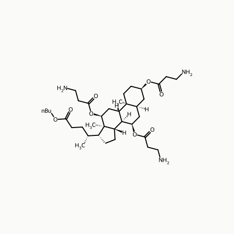 CCCCOC(=O)CC[C@@H](C)[C@H]1CC[C@H]2[C@@H]3[C@H](OC(=O)CCN)C[C@@H]4C[C@H](OC(=O)CCN)CC[C@]4(C)[C@H]3C[C@H](OC(=O)CCN)[C@]12C